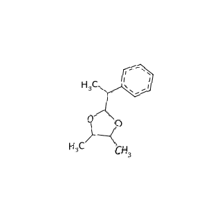 CC1OC(C(C)c2ccccc2)OC1C